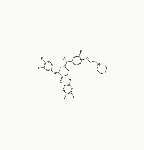 O=C1C(=Cc2ccc(F)c(F)c2)CN(C(=O)c2ccc(OCCN3CCCCC3)c(F)c2)CC1=Cc1ccc(F)c(F)c1